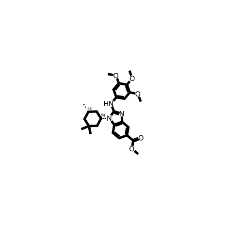 COC(=O)c1ccc2c(c1)nc(Nc1cc(OC)c(OC)c(OC)c1)n2[C@H]1C[C@@H](C)CC(C)(C)C1